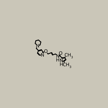 Cc1cc(C)c(C(=O)NCC=CCOc2cc(CN3CCCCC3)ccn2)[nH]1